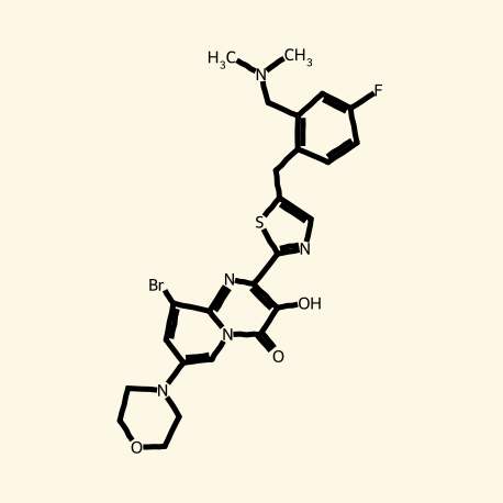 CN(C)Cc1cc(F)ccc1Cc1cnc(-c2nc3c(Br)cc(N4CCOCC4)cn3c(=O)c2O)s1